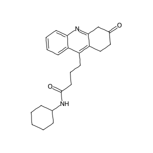 O=C1CCc2c(nc3ccccc3c2CCCC(=O)NC2CCCCC2)C1